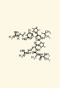 CC(C)C[C@H](NC(=O)[C@@H]1CCCN1C(=O)[C@H](CCCNC(=N)N)NC(=O)[C@H](C)NC(=O)[C@H](C)N)C(=O)N1CCC[C@H]1C(=O)N[C@@H](CCCNC(=N)N)C(=O)O